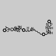 CC(CC(=O)N1CCC(O)(Cn2cnc3c(-c4ccc(CNCc5cnn(CCCCCCc6ccc(Cc7nc(C(=O)N[C@H]8COc9ccccc9N(C)C8=O)n[nH]7)cc6)c5)cc4)n(C)nc3c2=O)CC1)c1ccccc1